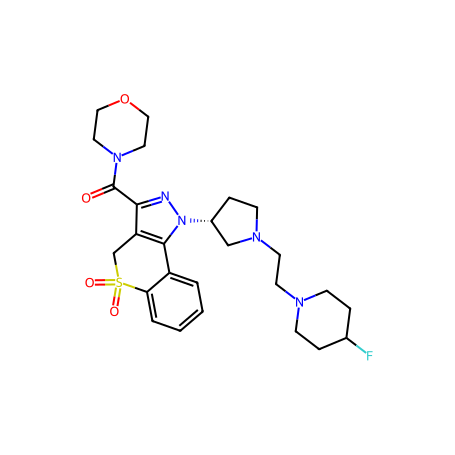 O=C(c1nn([C@@H]2CCN(CCN3CCC(F)CC3)C2)c2c1CS(=O)(=O)c1ccccc1-2)N1CCOCC1